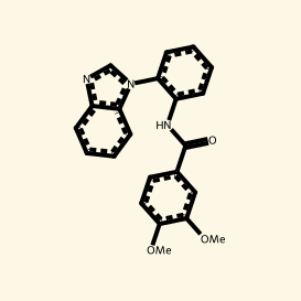 COc1ccc(C(=O)Nc2ccccc2-n2cnc3ccccc32)cc1OC